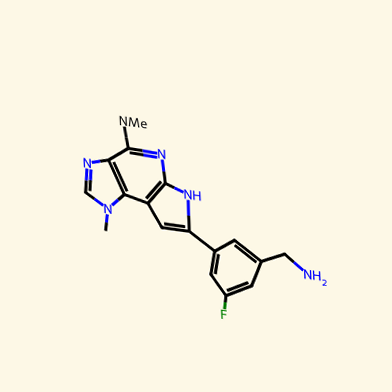 CNc1nc2[nH]c(-c3cc(F)cc(CN)c3)cc2c2c1ncn2C